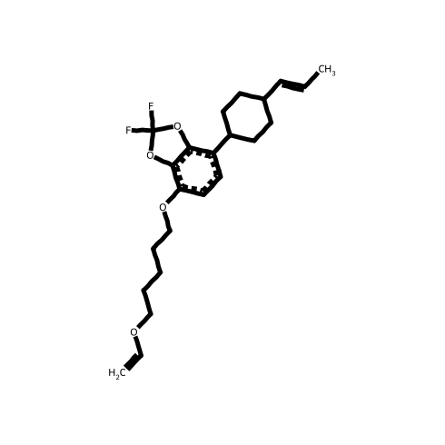 C=COCCCCCOc1ccc(C2CCC(/C=C/C)CC2)c2c1OC(F)(F)O2